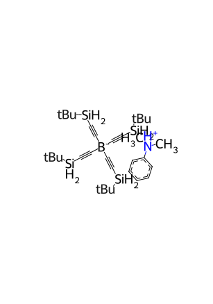 CC(C)(C)[SiH2]C#C[B-](C#C[SiH2]C(C)(C)C)(C#C[SiH2]C(C)(C)C)C#C[SiH2]C(C)(C)C.C[NH+](C)c1ccccc1